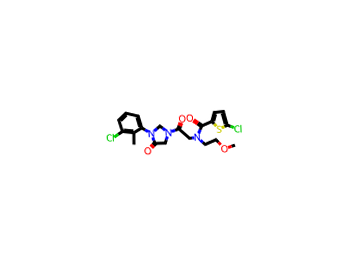 COCCN(CC(=O)N1CC(=O)N(c2cccc(Cl)c2C)C1)C(=O)c1ccc(Cl)s1